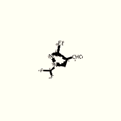 CCc1nn(C(F)F)cc1C=O